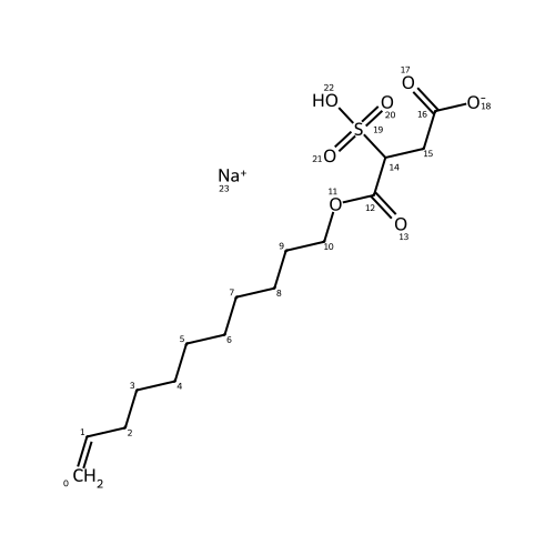 C=CCCCCCCCCCOC(=O)C(CC(=O)[O-])S(=O)(=O)O.[Na+]